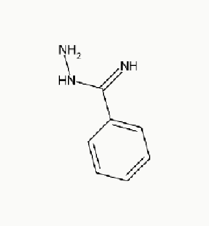 N=C(NN)c1ccccc1